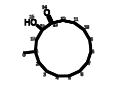 CC1CCCCCCCCCCCC(=O)C(O)C1